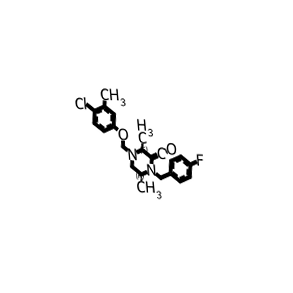 Cc1cc(OCN2C[C@@H](C)N(Cc3ccc(F)cc3)C(=C=O)[C@@H]2C)ccc1Cl